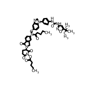 CCCCC(=O)ON1C(=O)CCC(N2Cc3cc(N(Oc4ccc5c(c4)ncn5-c4ccc(NC(=O)Nc5cc(C(C)(C)C)on5)cc4)C(=O)CCCC)ccc3C2=O)C1=O